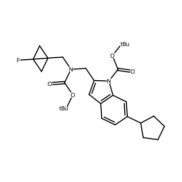 CC(C)(C)OC(=O)N(Cc1cc2ccc(C3CCCC3)cc2n1C(=O)OC(C)(C)C)CC12CC1(F)C2